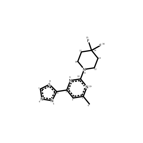 Cc1cc(-c2nncs2)nc(N2CCC(F)(F)CC2)n1